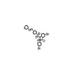 O=C(Nc1ccc(Br)cc1)c1cc(Br)ccc1NS(=O)(=O)c1ccc(/N=N/c2ccccc2)cc1